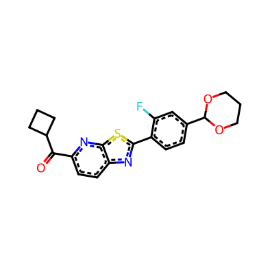 O=C(c1ccc2nc(-c3ccc(C4OCCCO4)cc3F)sc2n1)C1CCC1